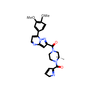 COc1ccc(-c2ccnc3cc(C(=O)N4CCN(C(=O)C5=NCC=C5)[C@@H](C)C4)nn23)cc1OC